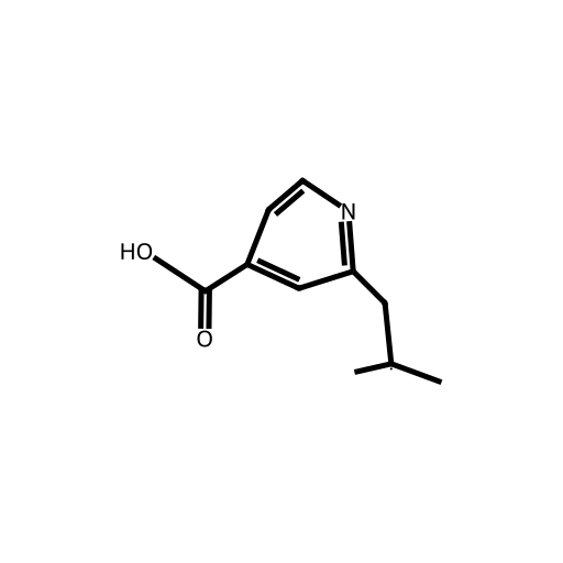 C[C](C)Cc1cc(C(=O)O)ccn1